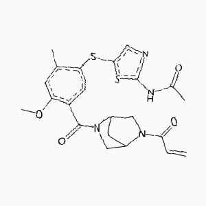 C=CC(=O)N1CC2CC1CN2C(=O)c1cc(Sc2cnc(NC(C)=O)s2)c(C)cc1OC